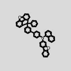 c1ccc(C2(c3cccc(-c4ccc(N(c5ccc6c(c5)oc5ccccc56)c5cccc6ccccc56)cc4)c3)c3cccc4oc5cccc2c5c34)cc1